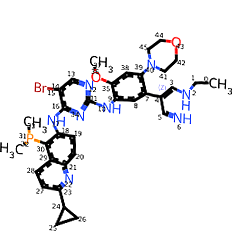 CCN/C=C(\C=N)c1cc(Nc2ncc(Br)c(Nc3ccc4nc(C5CC5)ccc4c3P(C)C)n2)c(OC)cc1N1CCOCC1